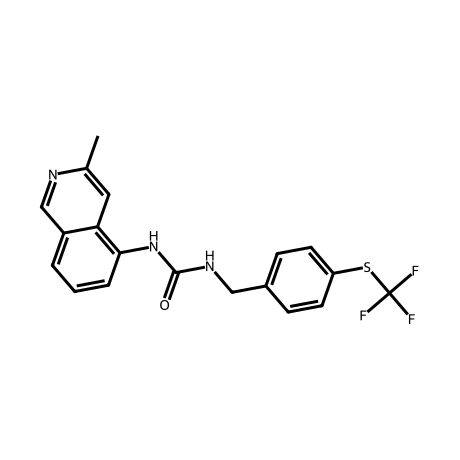 Cc1cc2c(NC(=O)NCc3ccc(SC(F)(F)F)cc3)cccc2cn1